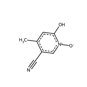 Cc1cc(O)[n+]([O-])cc1C#N